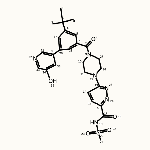 CC(C)(C)c1cc(C(=O)N2CCN(c3ccc(C(=O)NS(C)(=O)=O)nn3)CC2)cc(-c2cncc(O)c2)c1